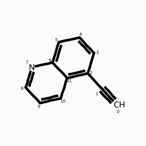 C#Cc1cccc2ncccc12